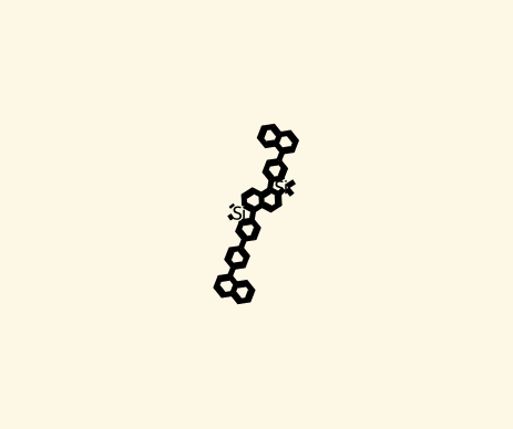 C[Si]1(C)c2cc(-c3ccc(-c4cccc5ccccc45)cc3)ccc2-c2c1ccc1c3c(ccc21)[Si](C)(C)c1cc(-c2cccc4ccccc24)ccc1-3